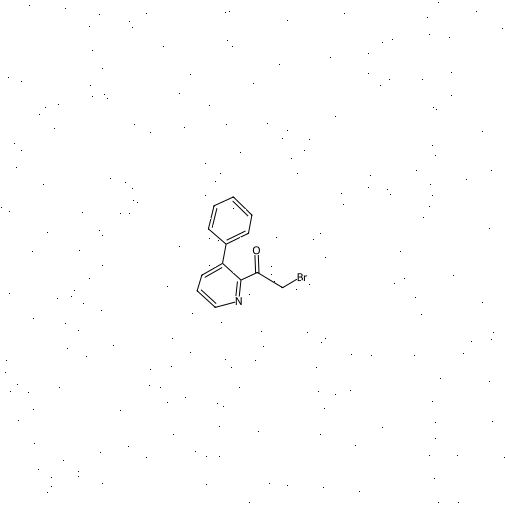 O=C(CBr)c1ncccc1-c1ccccc1